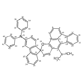 CC(C)c1c2c(c3cccc4c3c1-c1ccccc1-4)OC(c1ccccc1)(c1ccc(N(c3ccccc3)c3ccccc3)cc1)C=C2